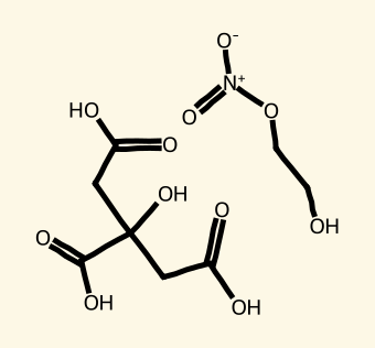 O=C(O)CC(O)(CC(=O)O)C(=O)O.O=[N+]([O-])OCCO